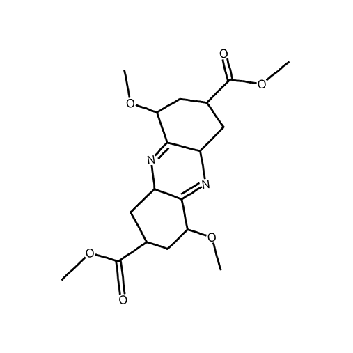 COC(=O)C1CC2N=C3C(CC(C(=O)OC)CC3OC)N=C2C(OC)C1